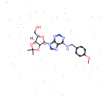 COc1ccc(CNc2ncnc3c2ncn3[C@@H]2O[C@H](CO)[C@@H]3OC(C)(C)OC32)cc1